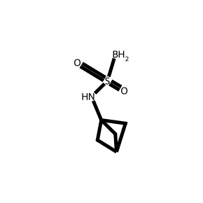 BS(=O)(=O)NC12CC(C1)C2